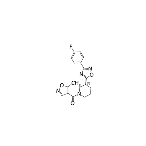 CC1ON=CC1C(=O)N1CCC[C@H](c2nc(-c3ccc(F)cc3)no2)C1